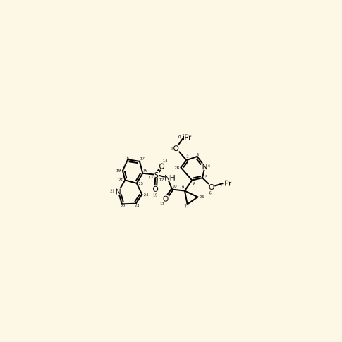 CC(C)Oc1cnc(OC(C)C)c(C2(C(=O)NS(=O)(=O)c3cccc4ncccc34)CC2)c1